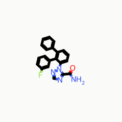 NC(=O)c1ncnn1-c1cccc(-c2ccccc2)c1-c1cccc(F)c1